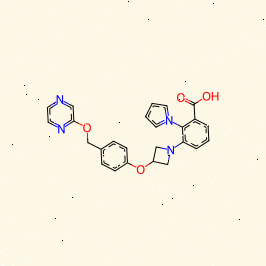 O=C(O)c1cccc(N2CC(Oc3ccc(COc4cnccn4)cc3)C2)c1-n1cccc1